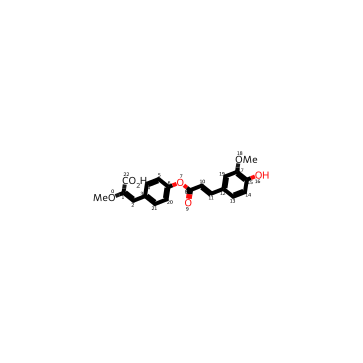 COC(=Cc1ccc(OC(=O)C=Cc2ccc(O)c(OC)c2)cc1)C(=O)O